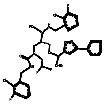 CC(=O)N(NCc1cccc(F)c1Cl)[C@H](CON(C=O)c1cc(-c2ccccc2)no1)CN(CC(F)F)C(=O)NCc1cccc(F)c1Cl